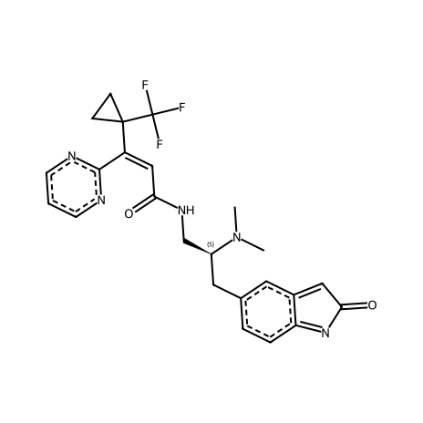 CN(C)[C@H](CNC(=O)C=C(c1ncccn1)C1(C(F)(F)F)CC1)Cc1ccc2c(c1)=CC(=O)N=2